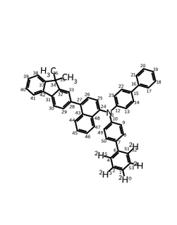 [2H]c1c([2H])c([2H])c(-c2ccc(N(c3ccc(-c4ccccc4)cc3)c3ccc(-c4ccc5c(c4)C(C)(C)c4ccccc4-5)c4ccccc34)cc2)c([2H])c1[2H]